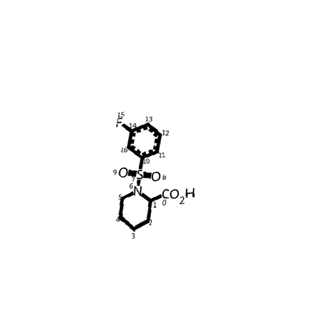 O=C(O)C1CCCCN1S(=O)(=O)c1cccc(F)c1